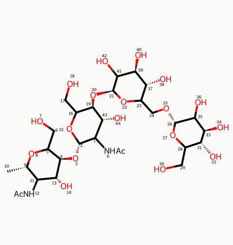 CC(=O)NC1[C@H](O[C@@H]2C(CO)O[C@@H](C)C(NC(C)=O)[C@H]2O)OC(CO)[C@@H](O[C@@H]2OC(CO[C@H]3OC(CO)[C@@H](O)[C@H](O)C3O)[C@@H](O)[C@H](O)C2O)[C@@H]1O